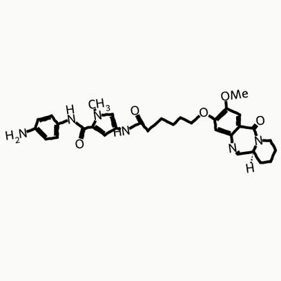 COc1cc2c(cc1OCCCCCC(=O)Nc1cc(C(=O)Nc3ccc(N)cc3)n(C)c1)N=C[C@@H]1CCCCN1C2=O